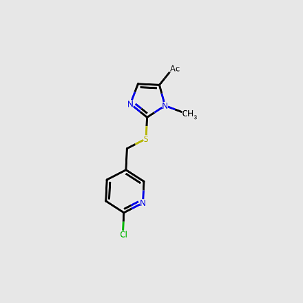 CC(=O)c1cnc(SCc2ccc(Cl)nc2)n1C